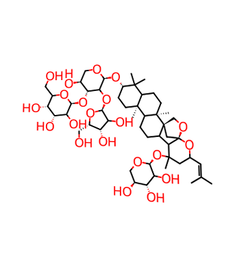 CC(C)=CC1CC(C)(O[C@@H]2OC[C@H](O)[C@@H](O)C2O)C2C3CCC4[C@@]5(C)CC[C@H](O[C@@H]6OC[C@H](O)[C@@H](O[C@@H]7OC(CO)[C@@H](O)[C@@H](O)C7O)C6O[C@@H]6O[C@@H](CO)[C@@H](O)C6O)C(C)(C)C5CC[C@@]4(C)[C@@]34CO[C@@]2(C4)O1